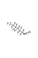 O=C=NC(F)(F)C(F)(F)C(F)(F)C(F)(F)C(F)(F)C(F)(F)F